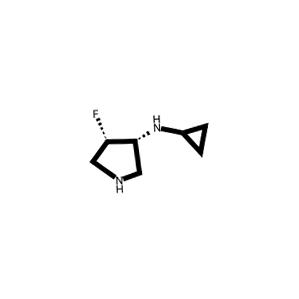 F[C@H]1CNC[C@H]1NC1CC1